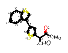 COC(=O)C(C=O)c1cc(-c2csc3ccccc23)cs1